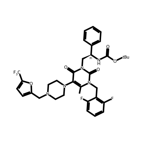 Cc1c(N2CCN(Cc3ccc(C(F)(F)F)o3)CC2)c(=O)n(C[C@H](NC(=O)OC(C)(C)C)c2ccccc2)c(=O)n1Cc1c(F)cccc1F